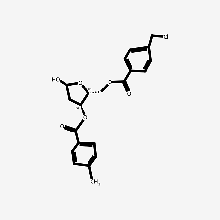 Cc1ccc(C(=O)O[C@H]2CC(O)O[C@@H]2COC(=O)c2ccc(CCl)cc2)cc1